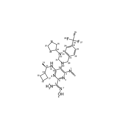 C=Nc1nc(/C(N)=N/O)nc(N[C@H](C)C2CCC2)c1N(Cc1ccc(C(F)(F)F)cc1)CN(C)C1CCCC1